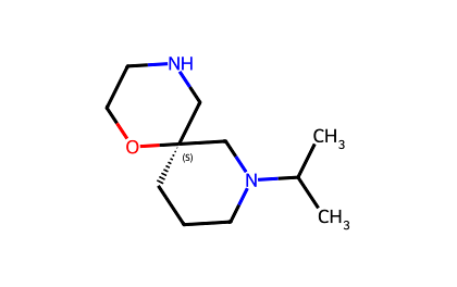 CC(C)N1CCC[C@]2(CNCCO2)C1